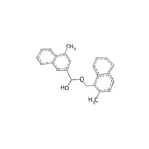 Cc1ccc2ccccc2c1COC(O)c1cc(C)c2ccccc2c1